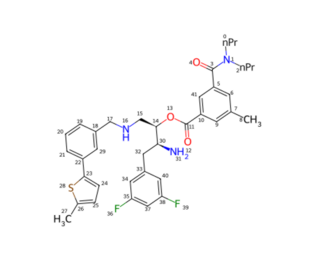 CCCN(CCC)C(=O)c1cc(C)cc(C(=O)O[C@H](CNCc2cccc(-c3ccc(C)s3)c2)[C@@H](N)Cc2cc(F)cc(F)c2)c1